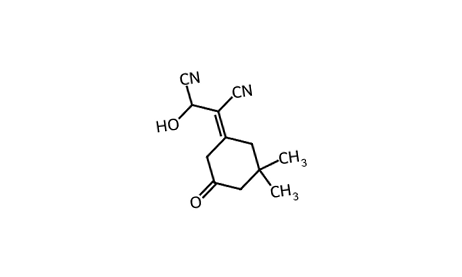 CC1(C)CC(=O)CC(=C(C#N)C(O)C#N)C1